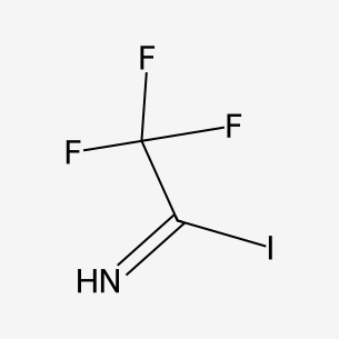 N=C(I)C(F)(F)F